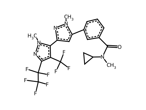 CN(C(=O)c1cccc(-c2cc(-c3c(C(F)(F)F)c(C(F)(F)C(F)(F)F)nn3C)nn2C)c1)C1CC1